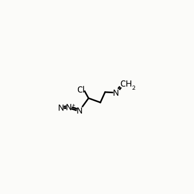 C=NCCC(Cl)N=[N+]=[N-]